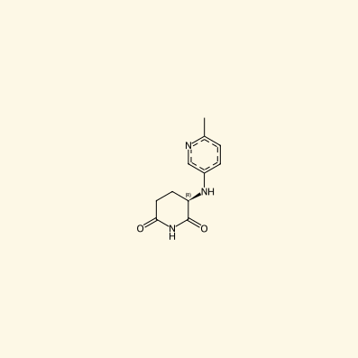 Cc1ccc(N[C@@H]2CCC(=O)NC2=O)cn1